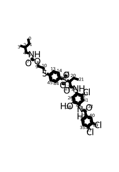 CCC(C)CNC(=O)OCCSc1ccc(S(=O)(=O)C(CC)C(=O)Nc2cc(O)c(NC(=O)c3ccc(Cl)c(Cl)c3)cc2Cl)cc1